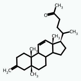 C=C1CC[C@]2(C)C3C=C[C@@]4(C)C(CC[C@@H]4C(C)CCC(C)=O)C3CC[C@]2(C)C1